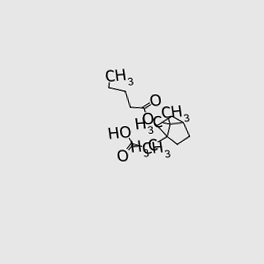 CC(=O)O.CCCCC(=O)OC1CC2CCC1(C)C2(C)C